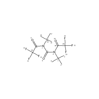 C[Si](C)(C)N(C(=O)N(C(=O)C(F)(F)F)[Si](C)(C)C)C(=O)C(F)(F)F